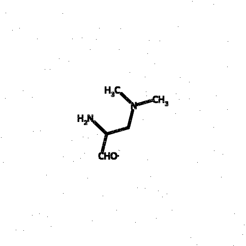 CN(C)CC(N)[C]=O